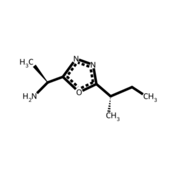 CC[C@H](C)c1nnc([C@H](C)N)o1